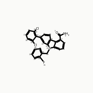 NC(=O)c1cccc2c1c1[c]cc(-c3c(Cl)cccc3Cl)cc1n2Cc1ccccc1F